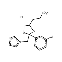 Cl.O=S(=O)(O)CCC1COC(Cn2ccnc2)(c2cccc(Cl)c2)O1